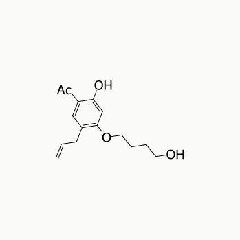 C=CCc1cc(C(C)=O)c(O)cc1OCCCCO